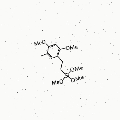 COc1cc(OC)c(CC[Si](OC)(OC)OC)cc1C